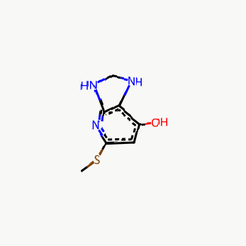 CSc1cc(O)c2c(n1)NCN2